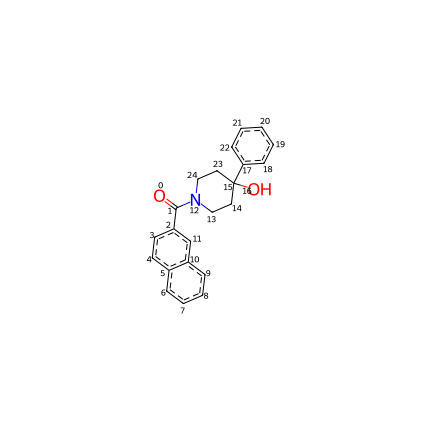 O=C(c1ccc2ccccc2c1)N1CCC(O)(c2ccccc2)CC1